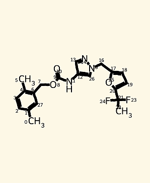 Cc1ccc(C)c(COC(=O)Nc2cnn(Cc3ccc(C(C)(F)F)o3)c2)c1